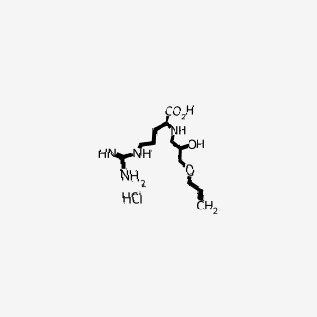 C=CCOCC(O)CN[C@@H](CCCNC(=N)N)C(=O)O.Cl